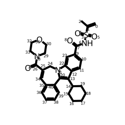 C=C(C)S(=O)(=O)NC(=O)c1ccc2c(C3CCCCC3)c3n(c2c1)CC(C(=O)N1CCOCC1)=Cc1ccccc1-3